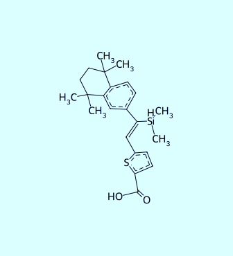 C[SiH](C)C(=Cc1ccc(C(=O)O)s1)c1ccc2c(c1)C(C)(C)CCC2(C)C